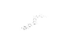 COc1cc2c(Oc3ccc(Nc4ccc(C(C)(C)C)cc4)cc3Cl)ccnc2cc1OCCN1CCC(CCO)CC1